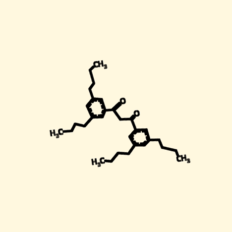 CCCCc1cc(CCCC)cc(C(=O)CC(=O)c2cc(CCCC)cc(CCCC)c2)c1